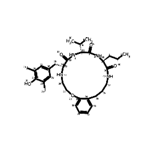 CCC[C@@H]1NC(=O)[C@@H](C(C)C)NC(=O)[C@@H](Cc2cc(I)c(O)c(I)c2)NCCOc2ccccc2CCCNC1=O